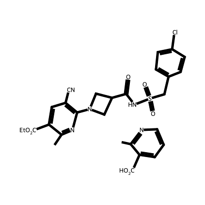 CCOC(=O)c1cc(C#N)c(N2CC(C(=O)NS(=O)(=O)Cc3ccc(Cl)cc3)C2)nc1C.Cc1ncccc1C(=O)O